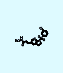 O=C(C=Cc1cnc2c(c1)CCN2S(=O)(=O)c1cccc(Cl)c1)NO